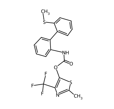 CSc1ccccc1-c1ccccc1NC(=O)Oc1sc(C)nc1C(F)(F)F